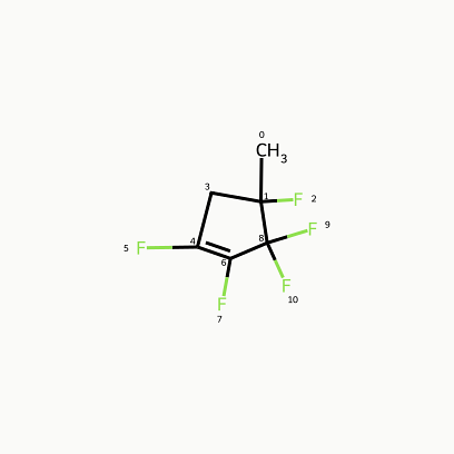 CC1(F)CC(F)=C(F)C1(F)F